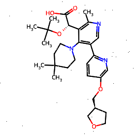 Cc1ncc(-c2ccc(OC[C@H]3CCOC3)cn2)c(N2CCC(C)(C)CC2)c1[C@H](OC(C)(C)C)C(=O)O